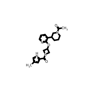 CC(=O)N1CCCC(c2cccnc2OC2CN(C(=O)c3cc(C)c[nH]3)C2)C1